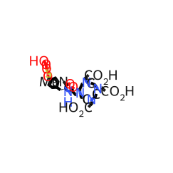 CNC(=O)[C@@H](Cc1ccc(OSOOO)cc1)NC(=O)CN1CCN(CC(=O)O)CCN(CC(=O)O)CCN(CC(=O)O)CC1